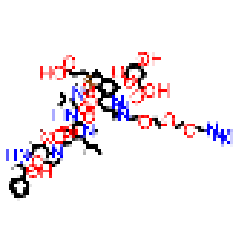 CC[C@H](C)[C@@H]([C@@H](CC(=O)N1CCC[C@H]1[C@H](OC)[C@@H](C)C(=O)N[C@H](C)[C@@H](O)c1ccccc1)OC)N(C)C(=O)[C@@H](NC(=O)[C@H](C(C)C)N(C)C(=O)OC(Cc1cn(CCOCCOCCOCCN=[N+]=[N-])nn1)c1ccc(O[C@H]2C[C@@H](O)C[C@@H](C(=O)O)O2)c2cc(CCC(=O)O)sc12)C(C)C